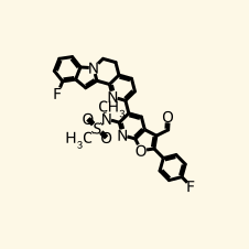 CN(c1nc2oc(-c3ccc(F)cc3)c(C=O)c2cc1-c1ccc2c(n1)-c1cc3c(F)cccc3n1CC2)S(C)(=O)=O